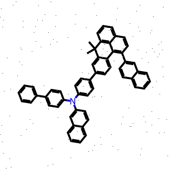 CC1(C)c2cc(-c3ccc(N(c4ccc(-c5ccccc5)cc4)c4ccc5ccccc5c4)cc3)ccc2-c2c(-c3ccc4ccccc4c3)ccc3cccc1c23